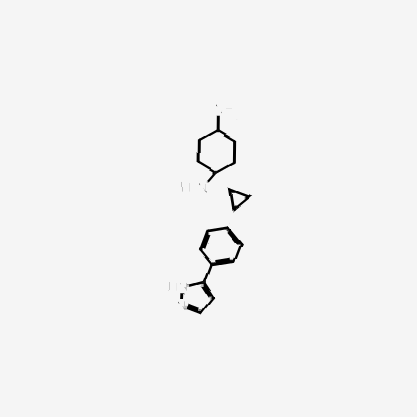 NC1CCC(N)([C@@H]2C[C@@H]2c2ccc(-c3ccn[nH]3)cc2)CC1